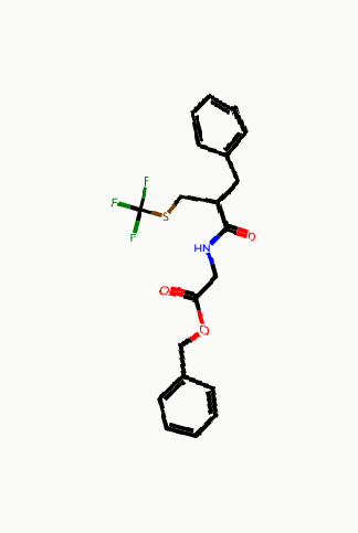 O=C(CNC(=O)C(CSC(F)(F)F)Cc1ccccc1)OCc1ccccc1